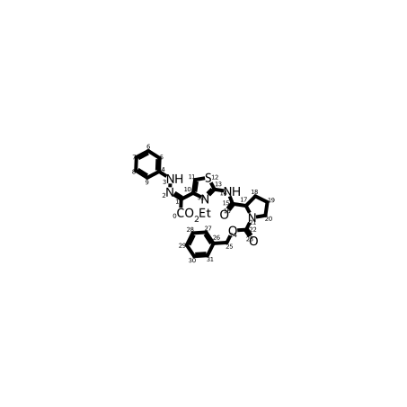 CCOC(=O)C(=NNc1ccccc1)c1csc(NC(=O)C2CCCN2C(=O)OCc2ccccc2)n1